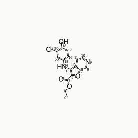 CCOC(=O)c1oc2cnccc2c1Nc1ccc(O)c(Cl)c1